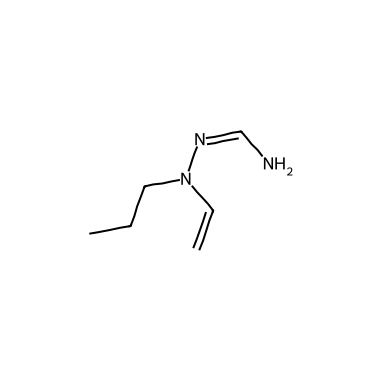 C=CN(CCC)/N=C\N